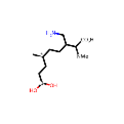 CNC(C(=O)O)C(CN)CC[C@H](C)CCB(O)O